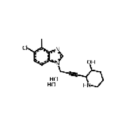 Cc1c(Cl)ccc2c1ncn2CC#CC1NCCCC1O.Cl.Cl